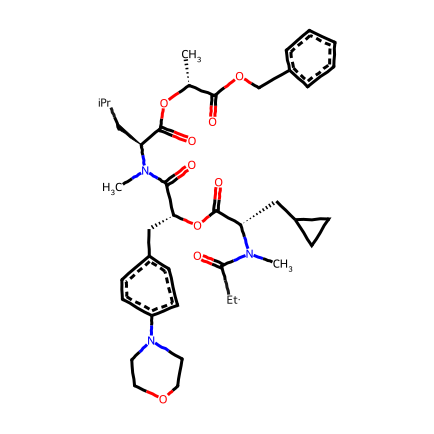 C[CH]C(=O)N(C)[C@@H](CC1CC1)C(=O)O[C@H](Cc1ccc(N2CCOCC2)cc1)C(=O)N(C)[C@@H](CC(C)C)C(=O)O[C@H](C)C(=O)OCc1ccccc1